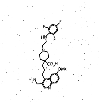 COc1ccc2ncc(CN)c(CCCC3(C(=O)O)CCN(CCNc4c(F)cc(F)cc4F)CC3)c2c1